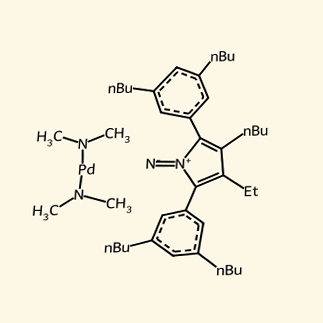 CCCCC1=C(c2cc(CCCC)cc(CCCC)c2)[N+](=[N-])C(c2cc(CCCC)cc(CCCC)c2)=C1CC.C[N](C)[Pd][N](C)C